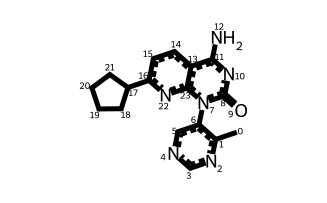 Cc1ncncc1-n1c(=O)nc(N)c2ccc(C3CCCC3)nc21